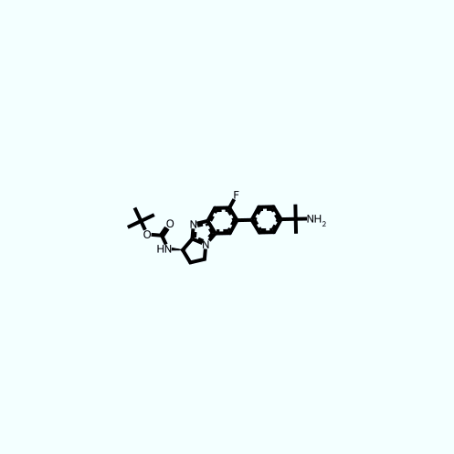 CC(C)(C)OC(=O)N[C@@H]1CCn2c1nc1cc(F)c(-c3ccc(C(C)(C)N)cc3)cc12